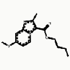 CCCCOC(=O)c1c(C)nc2cc(OC)ccn12